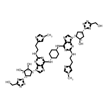 Cn1cnc(CCNc2nc(N[C@H]3CC[C@H](Nc4nc(NCCc5cn(C)cn5)nc5c4ncn5[C@@H]4C[C@H](n5nnc(CO)n5)C[C@H]4O)CC3)c3ncn([C@@H]4C[C@H](n5nnc(CO)n5)[C@@H](O)[C@H]4O)c3n2)c1